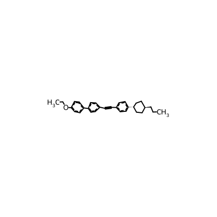 CCC[C@H]1CC[C@H](c2ccc(C#Cc3ccc(-c4ccc(OCC)cc4)cc3)cc2)CC1